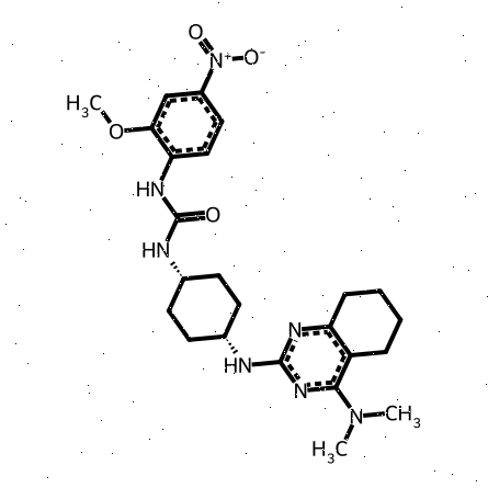 COc1cc([N+](=O)[O-])ccc1NC(=O)N[C@H]1CC[C@@H](Nc2nc3c(c(N(C)C)n2)CCCC3)CC1